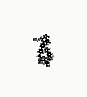 Cc1ncsc1-c1ccc([C@H](C)NC(=O)[C@@H]2C[C@@H](O)CN2C(=O)[C@@H](NC(=O)C2CC2c2ccc(-c3ccc(C4=N[C@@H](CC(=O)O)c5nnc(C)n5-c5sc(C)c(C)c54)cc3)cc2)C(C)(C)C)cc1